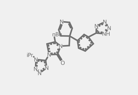 CCCCc1cn(-c2nnnn2C(C)C)c(=O)n1CC1(c2cccc(-c3nnn[nH]3)c2)C=CN=CC1